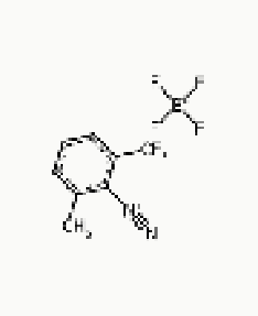 Cc1cccc(C(F)(F)F)c1[N+]#N.F[B-](F)(F)F